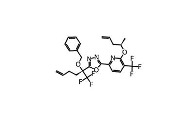 C=CCC[C@@](OCc1ccccc1)(c1nnc(-c2ccc(C(F)(F)F)c(O[C@H](C)CC=C)n2)o1)C(F)(F)F